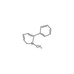 CN1CC=CC=C1c1ccccc1